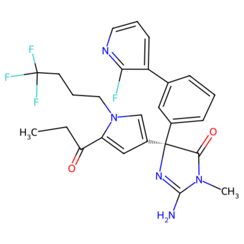 CCC(=O)c1cc([C@@]2(c3cccc(-c4cccnc4F)c3)N=C(N)N(C)C2=O)cn1CCCC(F)(F)F